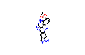 CC(C)S(=O)(=O)c1cccc2c(Nc3cc4[nH]ncc4cc3C#N)ccnc12